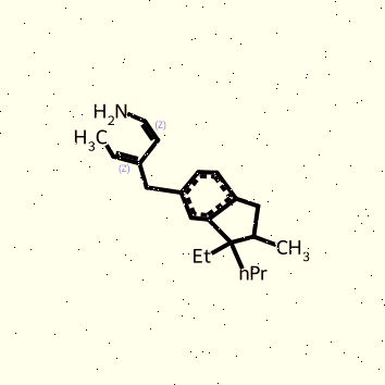 C/C=C(\C=C/N)Cc1ccc2c(c1)C(CC)(CCC)C(C)C2